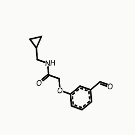 O=Cc1cccc(OCC(=O)NCC2CC2)c1